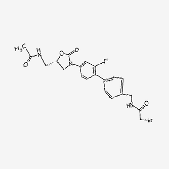 CC(=O)NC[C@H]1CN(c2ccc(-c3ccc(CNC(=O)CBr)cc3)c(F)c2)C(=O)O1